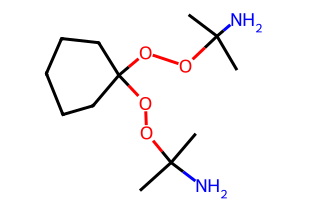 CC(C)(N)OOC1(OOC(C)(C)N)CCCCC1